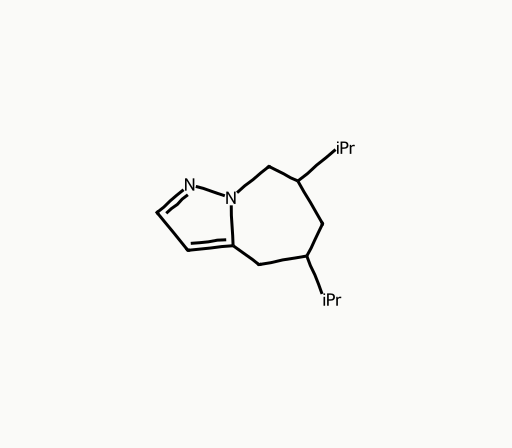 CC(C)C1Cc2ccnn2CC(C(C)C)C1